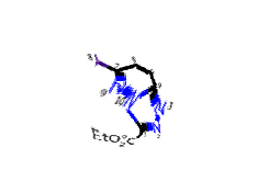 CCOC(=O)c1nnc2ccc(I)nn12